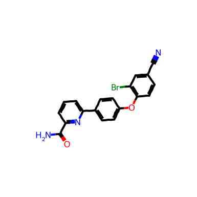 N#Cc1ccc(Oc2ccc(-c3cccc(C(N)=O)n3)cc2)c(Br)c1